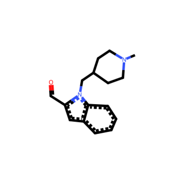 CN1CCC(Cn2c(C=O)cc3ccccc32)CC1